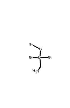 CCO[Si](CC)(CC)CN